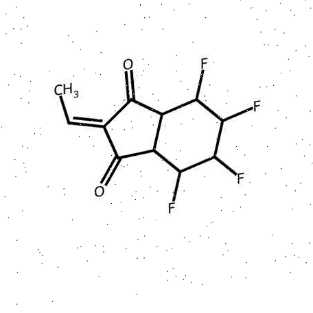 CC=C1C(=O)C2C(F)C(F)C(F)C(F)C2C1=O